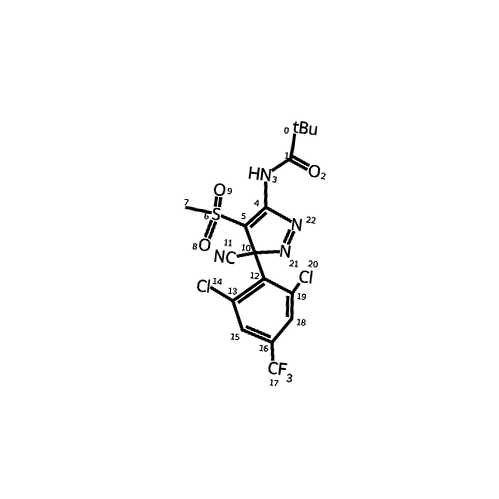 CC(C)(C)C(=O)NC1=C(S(C)(=O)=O)C(C#N)(c2c(Cl)cc(C(F)(F)F)cc2Cl)N=N1